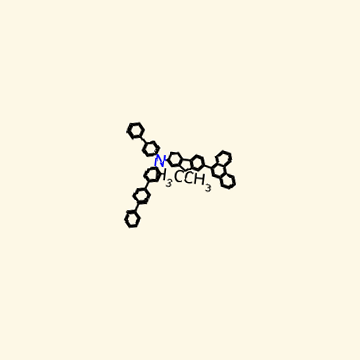 CC1(C)c2cc(-c3cc4ccccc4c4ccccc34)ccc2-c2ccc(N(c3ccc(-c4ccccc4)cc3)c3ccc(-c4ccc(-c5ccccc5)cc4)cc3)cc21